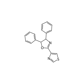 c1ccc(C2N=C(c3cscn3)OC2c2ccccc2)cc1